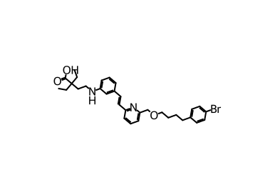 CCC(CC)(CCNc1cccc(C=Cc2cccc(COCCCCc3ccc(Br)cc3)n2)c1)C(=O)O